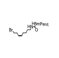 CCCCCNC(=O)NCCCC/C=C\CCBr